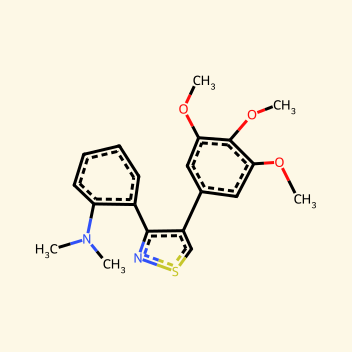 COc1cc(-c2csnc2-c2ccccc2N(C)C)cc(OC)c1OC